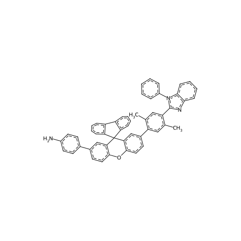 Cc1cc(-c2nc3ccccc3n2-c2ccccc2)c(C)cc1-c1ccc2c(c1)C1(c3cc(-c4ccc(N)cc4)ccc3O2)c2ccccc2-c2ccccc21